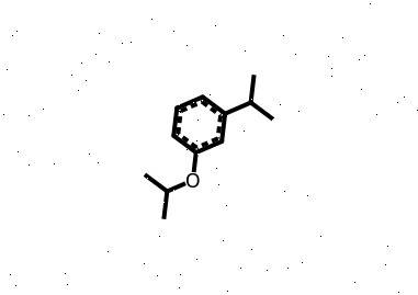 CC(C)Oc1cccc(C(C)C)c1